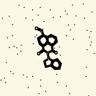 O=Nc1ccc2c3c(cccc13)C(=O)N(N1CCc3ccccc31)C2=O